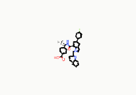 C[C@H](NC(=O)c1cc(-c2ccc(F)cc2)cc2ccn(Cc3ccc4ccccc4n3)c12)c1ccc(C(=O)O)cc1